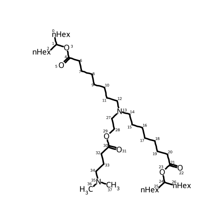 CCCCCCC(CCCCCC)OC(=O)CCCCCCCN(CCCCCCCC(=O)OC(CCCCCC)CCCCCC)CCOC(=O)CCCN(C)C